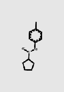 Cc1ccc(N[S+]([O-])C2CCCC2)cc1